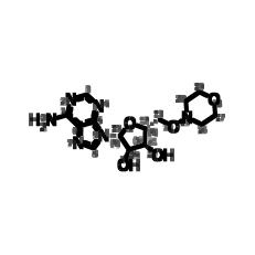 Nc1ncnc2c1ncn2[C@@H]1O[C@H](CON2CCOCC2)[C@@H](O)[C@H]1O